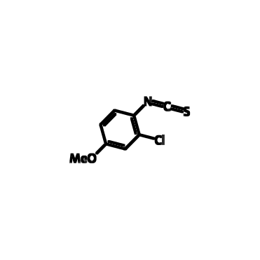 COc1ccc(N=C=S)c(Cl)c1